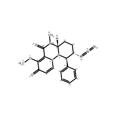 COc1c2n(ccc1=O)N1[C@H](c3ccccc3)[C@@H](N=[N+]=[N-])CC[C@H]1N(C)C2=O